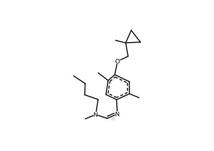 CCCCN(C)/C=N\c1cc(C)c(OCC2(C)CC2)cc1C